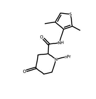 CCCN1CCC(=O)CC1C(=O)Nc1c(C)csc1C